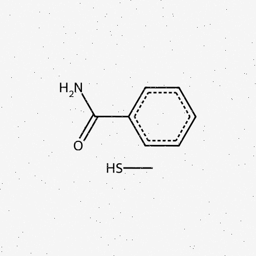 CS.NC(=O)c1ccccc1